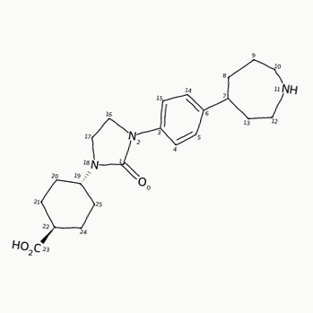 O=C1N(c2ccc(C3CCCNCC3)cc2)CCN1[C@H]1CC[C@H](C(=O)O)CC1